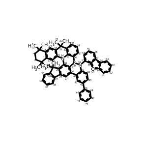 CC1(C)CCC(C)(C)c2cc3c(cc21)N1c2c(cccc2C3(C)C)B2c3c(cc4c(c31)C(C)(C)c1ccccc1-4)-c1cc(-c3ccccc3)ccc1N2c1cccc2c1oc1ccccc12